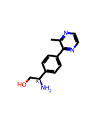 Cc1nccnc1-c1ccc([C@@H](N)CO)cc1